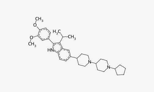 COc1ccc(-c2[nH]c3ccc(C4CCN(C5CCN(C6CCCC6)CC5)CC4)cc3c2C(C)C)cc1OC